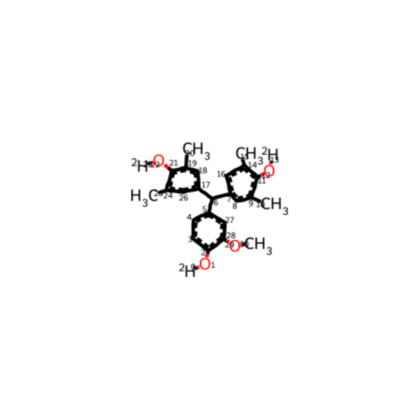 [2H]Oc1ccc(C(c2cc(C)c(O[2H])c(C)c2)c2cc(C)c(O[2H])c(C)c2)cc1OC